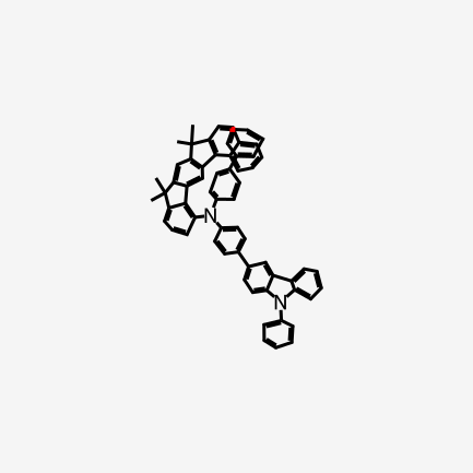 CC1(C)c2cc3c(cc2-c2c(N(c4ccc(-c5ccccc5)cc4)c4ccc(-c5ccc6c(c5)c5ccccc5n6-c5ccccc5)cc4)cccc21)-c1c(ccc2ccccc12)C3(C)C